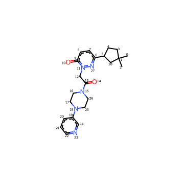 CC1(C)CCC(c2ccc(=O)n(CC(=O)N3CCN(c4cccnc4)CC3)n2)C1